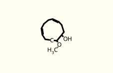 COC1CC/C=C\CC/C=C\CCC1O